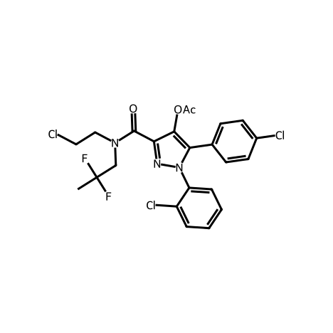 CC(=O)Oc1c(C(=O)N(CCCl)CC(C)(F)F)nn(-c2ccccc2Cl)c1-c1ccc(Cl)cc1